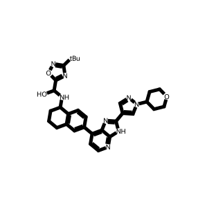 CC(C)(C)c1noc(C(O)NC2CCCc3cc(-c4ccnc5[nH]c(-c6cnn(C7CCOCC7)c6)nc45)ccc32)n1